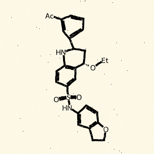 CCO[C@H]1CC(c2cccc(C(C)=O)c2)Nc2ccc(S(=O)(=O)Nc3ccc4c(c3)CCO4)cc21